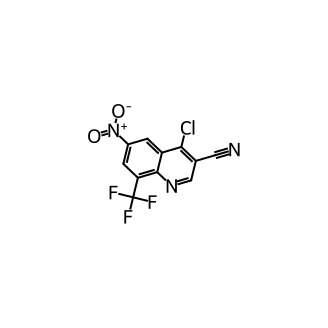 N#Cc1cnc2c(C(F)(F)F)cc([N+](=O)[O-])cc2c1Cl